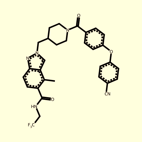 Cc1c(C(=O)NCC(F)(F)F)ccc2nn(CC3CCN(C(=O)c4ccc(Oc5ccc(C#N)cc5)cc4)CC3)cc12